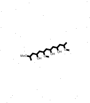 COC(C)CC(O)CC(CC(O)CC(O)CC(C)OI)OI